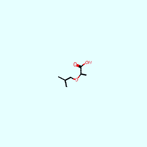 CC(C)COC(C)C(=O)O